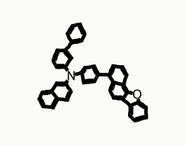 c1ccc(-c2cccc(N(c3ccc(-c4cccc5c4ccc4c6ccccc6oc54)cc3)c3ccc4ccccc4c3)c2)cc1